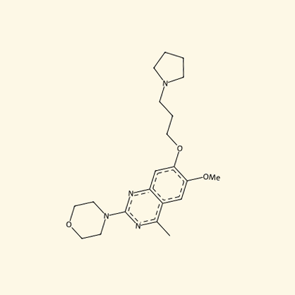 COc1cc2c(C)nc(N3CCOCC3)nc2cc1OCCCN1CCCC1